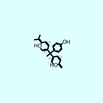 C=C(O)/C=C\C(=C/C)C(C)(C(/C=C\C(O)=C(C)C)=C/C)c1ccc(O)cc1